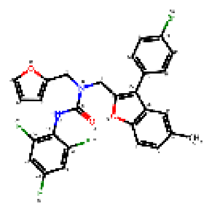 Cc1ccc2oc(CN(Cc3ccco3)C(=O)Nc3c(F)cc(F)cc3F)c(-c3ccc(Br)cc3)c2c1